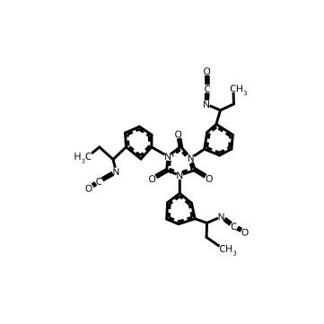 CCC(N=C=O)c1cccc(-n2c(=O)n(-c3cccc(C(CC)N=C=O)c3)c(=O)n(-c3cccc(C(CC)N=C=O)c3)c2=O)c1